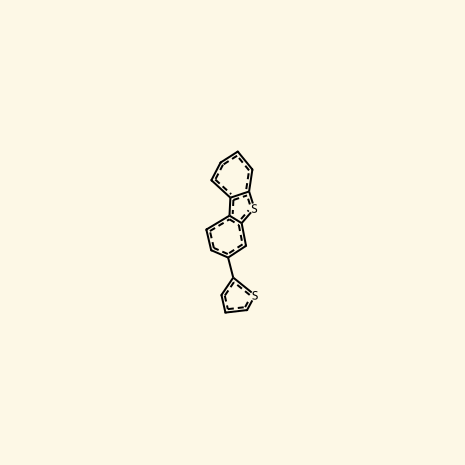 c1csc(-c2ccc3c(c2)sc2ccccc23)c1